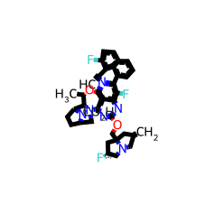 C#Cc1c(F)ccc2cccc(-c3nc4c5c(nc(OCC67CC(=C)CN6C[C@@H](F)C7)nc5c3F)N3CC5CCC(C3C(C)O4)N5C(=O)O)c12